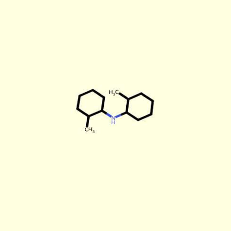 CC1CCCCC1NC1CCCCC1C